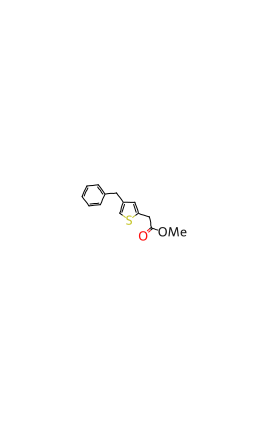 COC(=O)Cc1cc(Cc2ccccc2)cs1